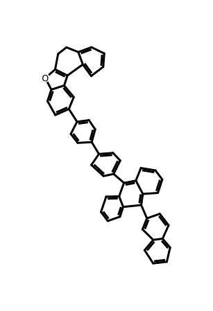 c1ccc2c(c1)CCc1oc3ccc(-c4ccc(-c5ccc(-c6c7ccccc7c(-c7ccc8ccccc8c7)c7ccccc67)cc5)cc4)cc3c1-2